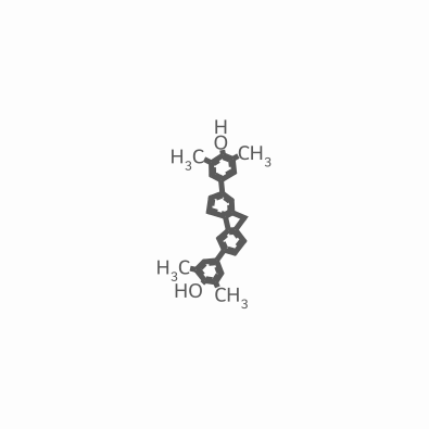 Cc1cc(-c2ccc3c(c2)Cc2ccc(-c4cc(C)c(O)c(C)c4)cc2-3)cc(C)c1O